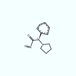 O=NC(=O)[C@@H](c1ccccc1)N1CCCC1